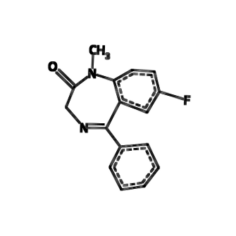 CN1C(=O)CN=C(c2ccccc2)c2cc(F)ccc21